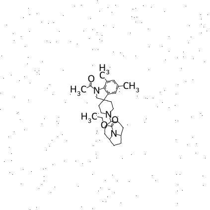 CCOC(=O)N1C2CCC(N3CCC4(CC3)CN(C(C)=O)c3c(C)cc(C)cc34)CCC1CC2